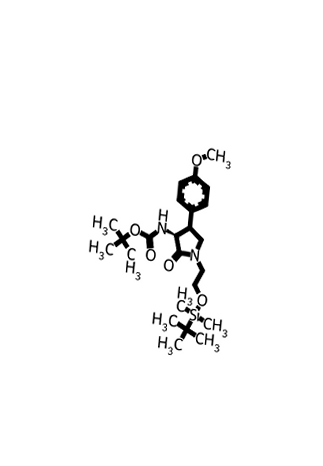 COc1ccc(C2CN(CCO[Si](C)(C)C(C)(C)C)C(=O)[C@H]2NC(=O)OC(C)(C)C)cc1